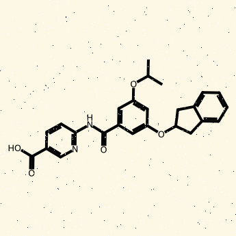 CC(C)Oc1cc(OC2Cc3ccccc3C2)cc(C(=O)Nc2ccc(C(=O)O)cn2)c1